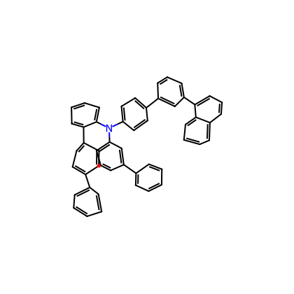 c1ccc(-c2ccc(-c3ccccc3N(c3ccc(-c4cccc(-c5cccc6ccccc56)c4)cc3)c3cccc(-c4ccccc4)c3)cc2)cc1